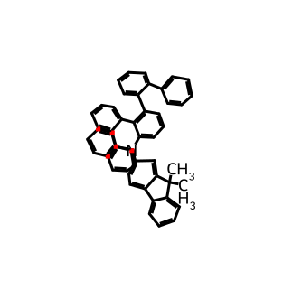 CC1(C)c2ccccc2-c2ccc(N(c3ccccc3)c3cccc(-c4ccccc4-c4ccccc4)c3-c3ccccc3-c3ccccc3)cc21